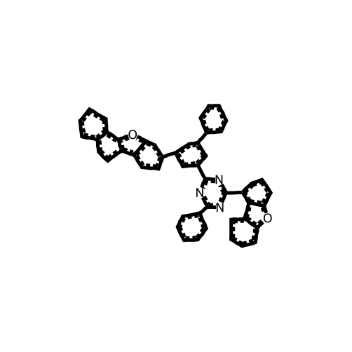 c1ccc(-c2cc(-c3ccc4c(c3)oc3c5ccccc5ccc43)cc(-c3nc(-c4ccccc4)nc(-c4cccc5oc6ccccc6c45)n3)c2)cc1